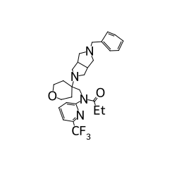 CCC(=O)N(CC1(N2CC3CN(Cc4ccccc4)CC3C2)CCOCC1)c1cccc(C(F)(F)F)n1